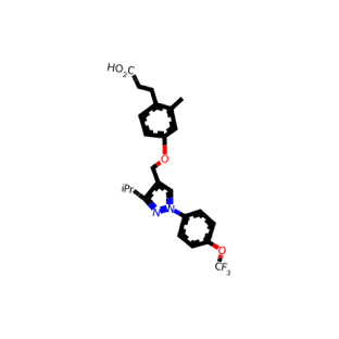 Cc1cc(OCc2cn(-c3ccc(OC(F)(F)F)cc3)nc2C(C)C)ccc1CCC(=O)O